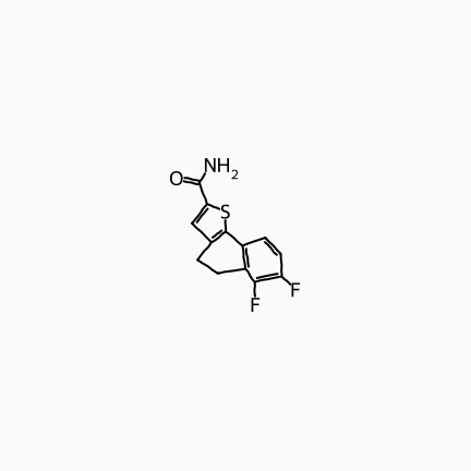 NC(=O)c1cc2c(s1)-c1ccc(F)c(F)c1CC2